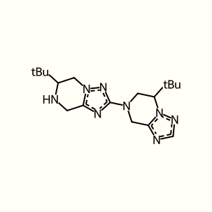 CC(C)(C)C1Cn2nc(N3Cc4ncnn4C(C(C)(C)C)C3)nc2CN1